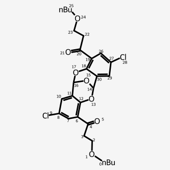 CCCCOCCC(=O)c1cc(Cl)cc2c1OC1OC2Oc2c(C(=O)CCOCCCC)cc(Cl)cc21